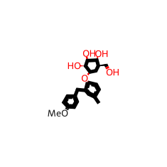 COc1ccc(Cc2cc(C)ccc2O[C@@H]2C[C@H](CO)[C@@H](O)[C@H](O)[C@H]2O)cc1